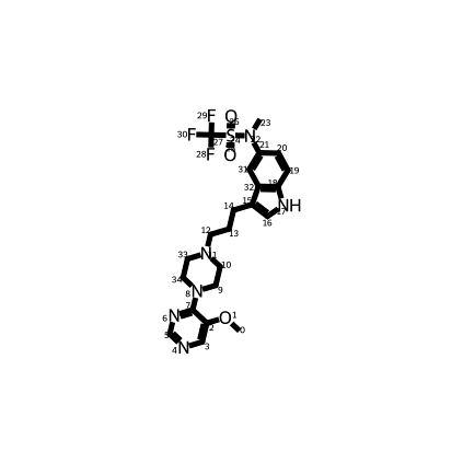 COc1cncnc1N1CCN(CCCc2c[nH]c3ccc(N(C)S(=O)(=O)C(F)(F)F)cc23)CC1